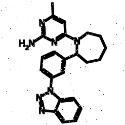 Cc1cc(N2CCCCCC2c2cccc(-n3nnc4ccccc43)c2)nc(N)n1